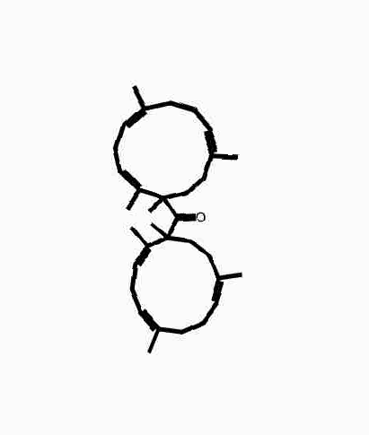 CC1=CCC=C(C)C(C)(C(=O)C2(C)CCC(C)=CCCC(C)=CCC=C2C)CCC(C)=CCC1